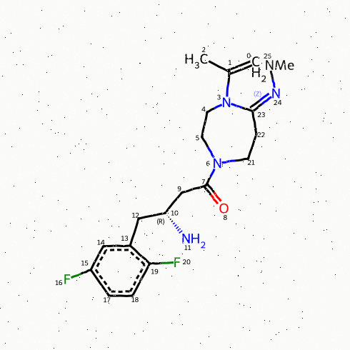 C=C(C)N1CCN(C(=O)C[C@H](N)Cc2cc(F)ccc2F)CC/C1=N/NC